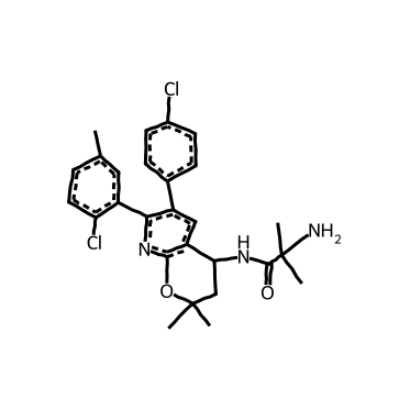 Cc1ccc(Cl)c(-c2nc3c(cc2-c2ccc(Cl)cc2)C(NC(=O)C(C)(C)N)CC(C)(C)O3)c1